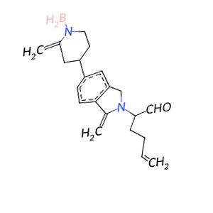 BN1CCC(c2ccc3c(c2)CN(C(C=O)CCC=C)C3=C)CC1=C